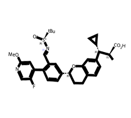 COc1cc(-c2ccc([C@H]3CCc4ccc([C@H](C5CC5)[C@H](C)C(=O)O)cc4O3)cc2/C=N/[S@@+]([O-])C(C)(C)C)c(F)cn1